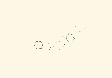 Cc1ccc(NC(=O)N2CCC(F)(c3ncc([C@@H](O)CO)cc3Cl)CC2)cc1